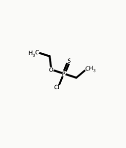 CCOP(=S)(Cl)CC